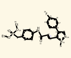 CCOP(=O)(Cc1ccc(NC(=O)/C=C/c2c(-c3ccc(F)cc3)cnn2C)cc1)OCC